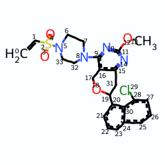 C=CS(=O)(=O)N1CCN(c2nc(OC)nc3c2COC(c2cccc4cccc(Cl)c24)C3)CC1